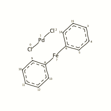 [Cl][Pd][Cl].c1cc[c]([Fe][c]2ccccc2)cc1